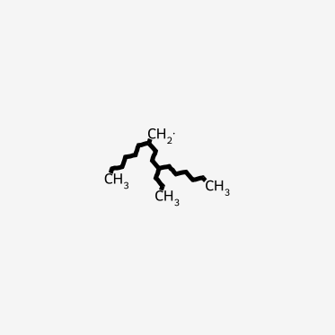 [CH2]C(CCCCCC)CCC(CCC)CCCCCC